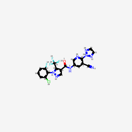 N#Cc1cc(NC(=O)c2cnn(-c3c(F)cccc3Cl)c2C(F)(F)F)cnc1-n1nccn1